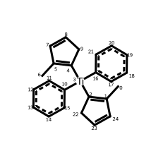 CC1=[C]([Ti]([C]2=C(C)C=CC2)([c]2ccccc2)[c]2ccccc2)CC=C1